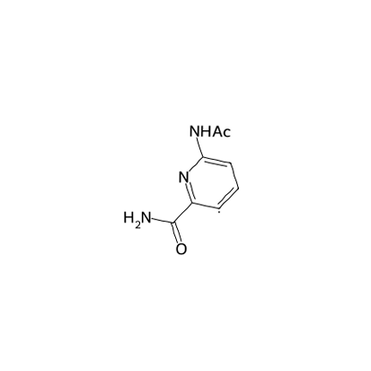 CC(=O)Nc1cc[c]c(C(N)=O)n1